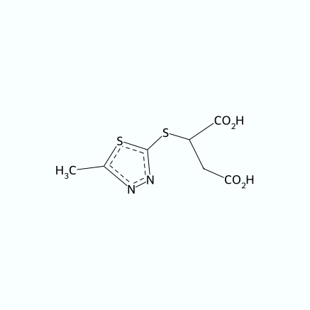 Cc1nnc(SC(CC(=O)O)C(=O)O)s1